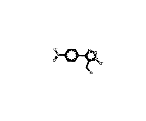 O=[N+]([O-])c1ccc(-c2no[n+]([O-])c2CBr)cc1